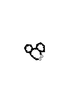 c1ccc2c(c1)ccooc1ccccc12